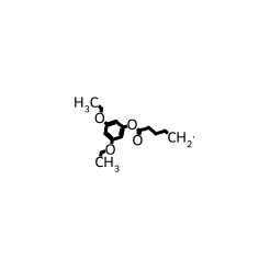 [CH2]CCCC(=O)Oc1cc(OCC)cc(OCC)c1